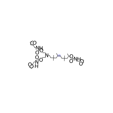 C/C(=C/CC(C)(C)CC(C)OC(=O)NCc1ccco1)CC(C)(C)CCN(CCOC(=O)NCc1ccco1)CCOC(=O)NCc1ccco1